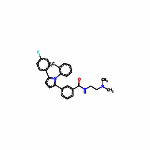 CN(C)CCNC(=O)c1cccc(-c2ccc(-c3ccc(F)cc3)n2-c2ccccc2C(F)(F)F)c1